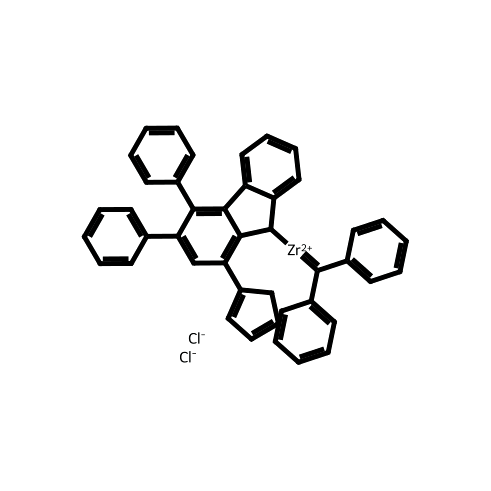 C1=CCC(c2cc(-c3ccccc3)c(-c3ccccc3)c3c2[CH]([Zr+2]=[C](c2ccccc2)c2ccccc2)c2ccccc2-3)=C1.[Cl-].[Cl-]